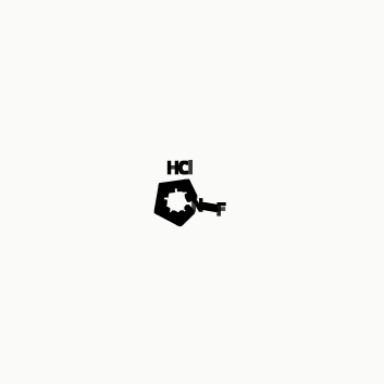 Cl.Fn1cccc1